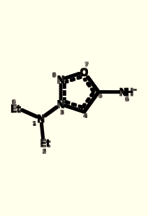 CCN(CC)[n+]1cc([NH-])on1